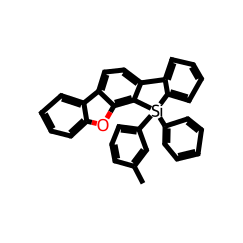 Cc1cccc([Si]2(c3ccccc3)c3ccccc3-c3ccc4c(oc5ccccc54)c32)c1